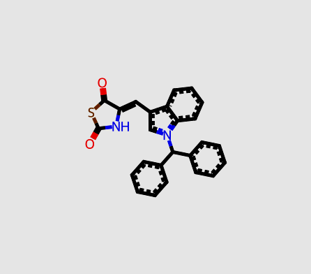 O=C1NC(=Cc2cn(C(c3ccccc3)c3ccccc3)c3ccccc23)C(=O)S1